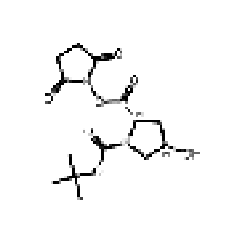 CC(C)(C)OC(=O)N1C[C@H](O)C[C@H]1C(=O)ON1C(=O)CCC1=O